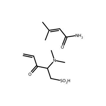 C=CC(=O)C(CS(=O)(=O)O)N(C)C.CC(C)=CC(N)=O